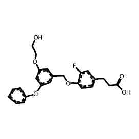 O=C(O)CCc1ccc(OCc2cc(OCCO)cc(Oc3ccccc3)c2)c(F)c1